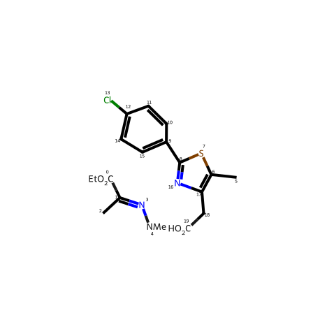 CCOC(=O)C(C)=NNC.Cc1sc(-c2ccc(Cl)cc2)nc1CC(=O)O